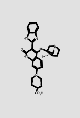 O=C(O)C1CCN(c2ccc3c(N[C@H]4CN5CCC4CC5)c(-c4nc5ccccc5[nH]4)c(=O)[nH]c3c2)CC1